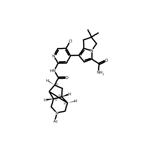 CC(=O)N1C[C@@H]2C3[C@@H](C(=O)Nc4cc(-c5cc(C(N)=O)n6c5CC(C)(C)C6)c(Cl)cn4)C[C@@H]2[C@H]3C1